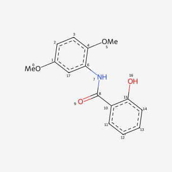 COc1ccc(OC)c(NC(=O)c2c[c]ccc2O)c1